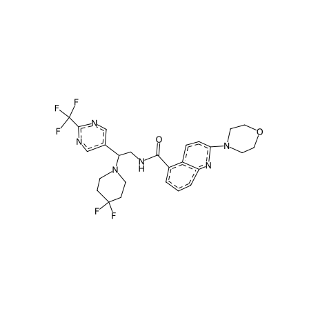 O=C(NCC(c1cnc(C(F)(F)F)nc1)N1CCC(F)(F)CC1)c1cccc2nc(N3CCOCC3)ccc12